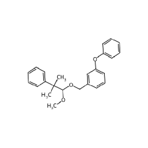 COC(OCc1cccc(Oc2ccccc2)c1)C(C)(C)c1ccccc1